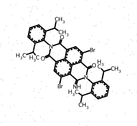 CC(C)c1cccc(C(C)C)c1N1C(=O)c2cc(Br)c3c4c(c(Br)cc(c24)C1=O)C(=O)N(c1c(C(C)C)cccc1C(C)C)C3=N